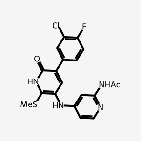 CSc1[nH]c(=O)c(-c2ccc(F)c(Cl)c2)cc1Nc1ccnc(NC(C)=O)c1